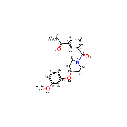 CNC(=O)c1cccc(C(=O)N2CCC(Oc3cccc(OC(F)(F)F)c3)CC2)c1